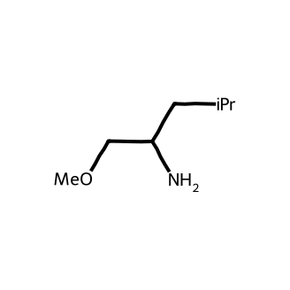 COCC(N)CC(C)C